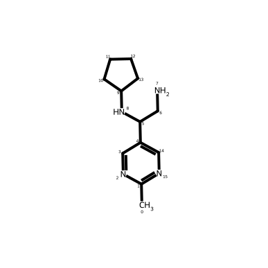 Cc1ncc(C(CN)NC2CCCC2)cn1